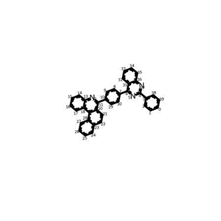 c1ccc(-c2nc(-c3ccc(-c4nc5ccccc5c5c4ccc4ccccc45)cc3)c3ccccc3n2)cc1